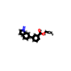 CCOC(=O)c1cccc(-c2ccc3cc[nH]c3c2)c1